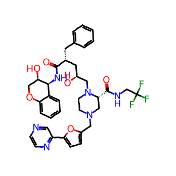 O=C(N[C@H]1c2ccccc2OC[C@H]1O)[C@H](Cc1ccccc1)C[C@H](O)CN1CCN(Cc2ccc(-c3cnccn3)o2)C[C@H]1C(=O)NCC(F)(F)F